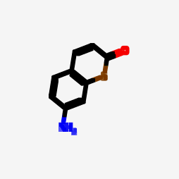 Nc1ccc2ccc(=O)sc2c1